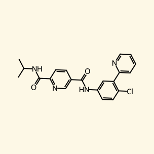 CC(C)NC(=O)c1ccc(C(=O)Nc2ccc(Cl)c(-c3ccccn3)c2)cn1